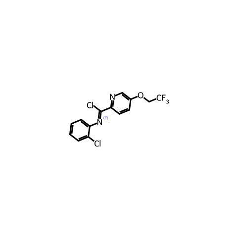 FC(F)(F)COc1ccc(/C(Cl)=N/c2ccccc2Cl)nc1